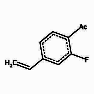 C=Cc1ccc(C(C)=O)c(F)c1